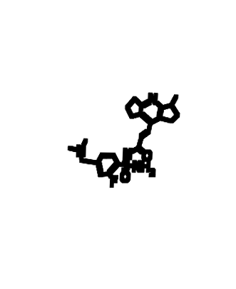 CC1CCc2c1nc1c(c2/C=C/C(=O)N=S(N)(=O)c2ccc(CN(C)C)cc2F)CCC1